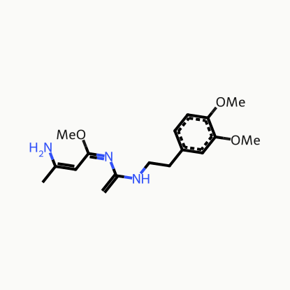 C=C(/N=C(\C=C(\C)N)OC)NCCc1ccc(OC)c(OC)c1